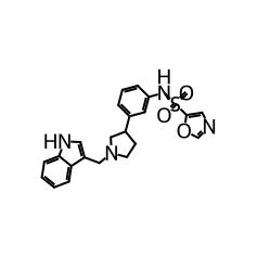 O=S(=O)(Nc1cccc(C2CCN(Cc3c[nH]c4ccccc34)C2)c1)c1cnco1